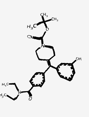 CCN(CC)C(=O)c1ccc(C(=C2CCN(C(=O)OC(C)(C)C)CC2)c2cccc(O)c2)cc1